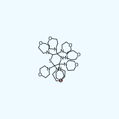 C1CN(C2SC(N3CCOCC3)(N3CCOCC3)C(N3CCOCC3)(N3CCOCC3)N(N3CCOCC3)C2(N2CCOCC2)N2CCOCC2)CCO1